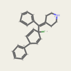 FC1(C(=C2CCNCC2)c2ccccc2)C=CC(c2ccccc2)C=C1